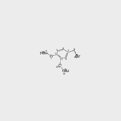 CCCCOc1ccc(CBr)cc1OCCCC